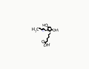 CC/C=C/C[C@@H]1[C@@H](CCCCCC(=O)O)[C@@H](O)C[C@H]1O